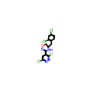 Clc1ccc(CC2CON=C(c3cc(Cl)nnc3Cl)N2)c(Cl)c1